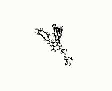 CC(C)OCCNC1CCc2cc(OCc3ccccc3)c(N3CC(=O)NS3(=O)=O)c(F)c2C1